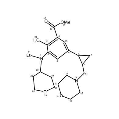 CCN(c1cc(C2CC2CN2CCOCC2)cc(C(=O)OC)c1C)C1CCOCC1